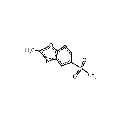 Cc1nc2cc(S(=O)(=O)C(F)(F)F)ccc2o1